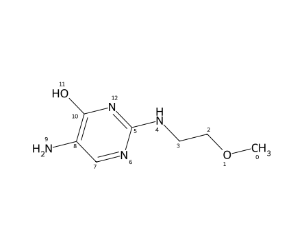 COCCNc1ncc(N)c(O)n1